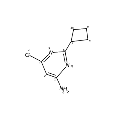 Nc1cc(Cl)nc(C2CCC2)n1